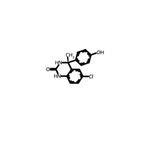 C[C@]1(c2ccc(O)cc2)NC(=O)Nc2ccc(Cl)cc21